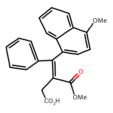 COC(=O)C(CC(=O)O)=C(c1ccccc1)c1ccc(OC)c2ccccc12